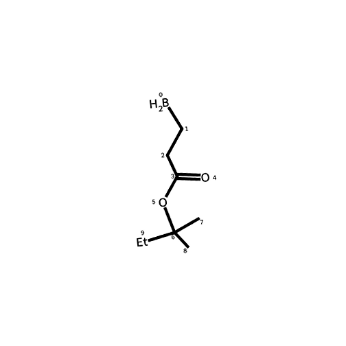 BCCC(=O)OC(C)(C)CC